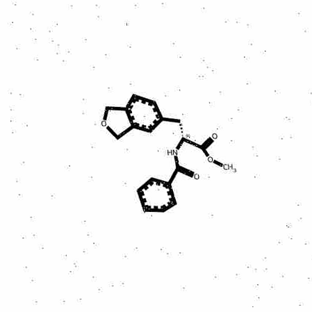 COC(=O)[C@@H](Cc1ccc2c(c1)COC2)NC(=O)c1ccccc1